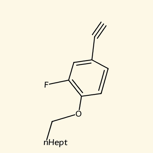 C#Cc1ccc(OCCCCCCCC)c(F)c1